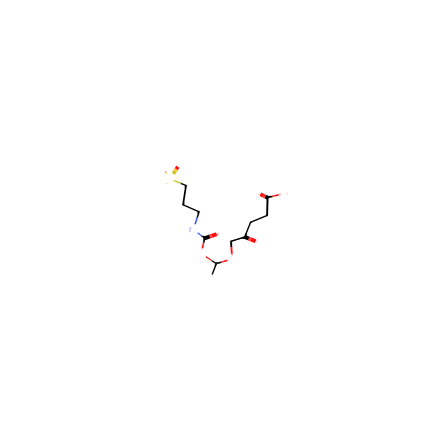 CC(OCC(=O)CCC(=O)O)OC(=O)NCCCS(=O)(=O)O